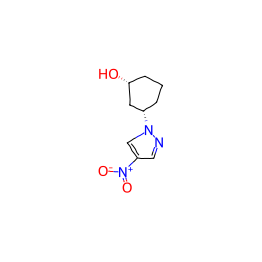 O=[N+]([O-])c1cnn([C@H]2CCC[C@@H](O)C2)c1